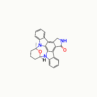 C[C@@]12CCC[C@@H](O1)n1c3ccccc3c3c4c(c5c6ccccc6n2c5c31)CNC4=O